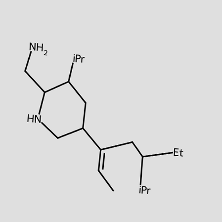 C/C=C(\CC(CC)C(C)C)C1CNC(CN)C(C(C)C)C1